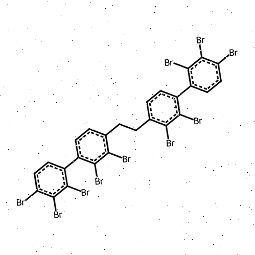 Brc1ccc(-c2ccc(CCc3ccc(-c4ccc(Br)c(Br)c4Br)c(Br)c3Br)c(Br)c2Br)c(Br)c1Br